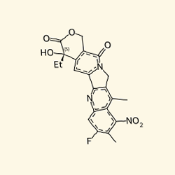 CC[C@@]1(O)C(=O)OCc2c1cc1n(c2=O)Cc2c-1nc1cc(F)c(C)c([N+](=O)[O-])c1c2C